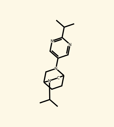 CC(C)c1ncc(N2CC3CCC2CN3C(C)C)cn1